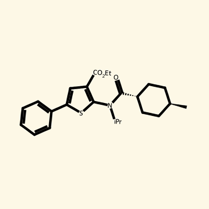 CCOC(=O)c1cc(-c2ccccc2)sc1N(C(=O)[C@H]1CC[C@H](C)CC1)C(C)C